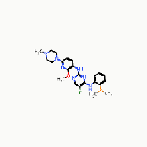 COc1nc(N2CCN(C)CC2)ccc1Nc1ncc(Cl)c(Nc2ccccc2P(C)C)n1